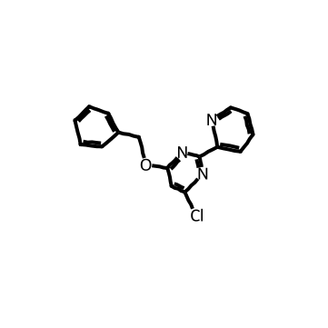 Clc1cc(OCc2ccccc2)nc(-c2ccccn2)n1